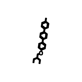 CCC(CC)COc1ccc(-c2ccc(-c3ccc(C)cc3)cc2)cc1